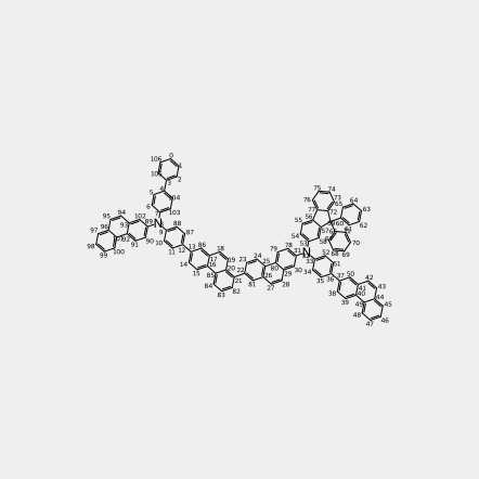 c1ccc(-c2ccc(N(c3ccc(-c4ccc5c(ccc6c(-c7ccc8c(ccc9cc(N(c%10ccc(-c%11ccc%12c(ccc%13ccccc%13%12)c%11)cc%10)c%10ccc%11c(c%10)C(c%10ccccc%10)(c%10ccccc%10)c%10ccccc%10-%11)ccc98)c7)cccc65)c4)cc3)c3ccc4c(ccc5ccccc54)c3)cc2)cc1